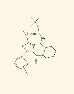 Cc1cccc(-c2sc(C3CC3)nc2C(=O)N2CCCCC2CNC(=O)OC(C)(C)C)c1